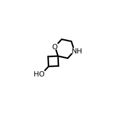 OC1CC2(CNCCO2)C1